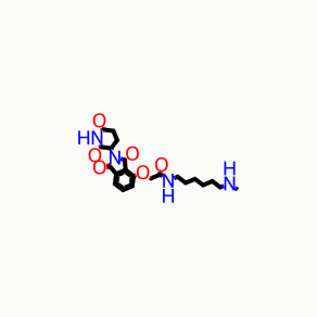 CNCCCCCCNC(=O)COc1cccc2c1C(=O)N(C1CCC(=O)NC1=O)C2=O